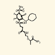 CC(OCCNC(=O)CCS(=O)(=O)c1c(F)c(F)c(S(N)(=O)=O)c(F)c1NC1CCCCCCC1)C(N)=O